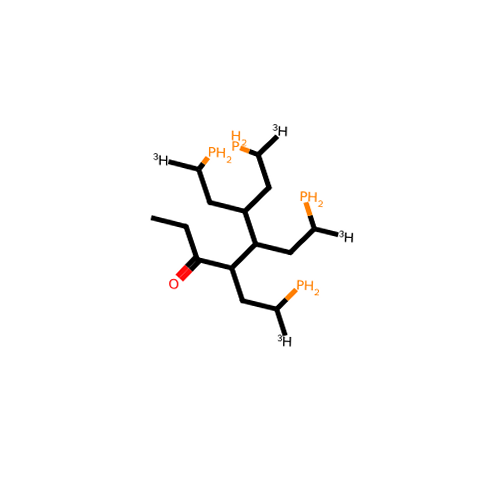 [3H]C(P)CC(CC([3H])P)C(CC([3H])P)C(CC([3H])P)C(=O)CC